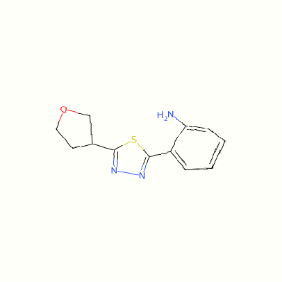 Nc1ccccc1-c1nnc(C2CCOC2)s1